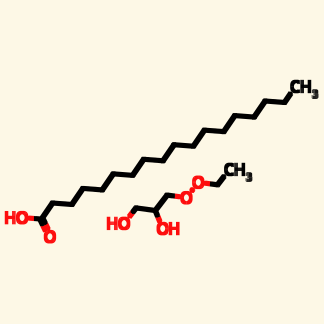 CCCCCCCCCCCCCCCCCC(=O)O.CCOOCC(O)CO